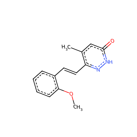 COc1ccccc1/C=C/c1n[nH]c(=O)cc1C